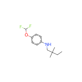 CCC(C)(C)CNc1ccc(OC(F)F)cc1